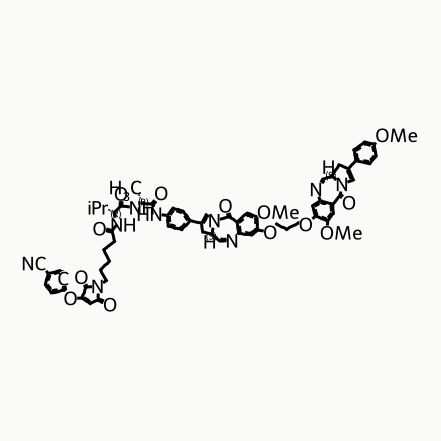 COc1ccc(C2=CN3C(=O)c4cc(OC)c(OCCCOc5cc6c(cc5OC)C(=O)N5C=C(c7ccc(NC(=O)[C@@H](C)NC(=O)[C@H](NC(=O)CCCCCN8C(=O)C=C(Oc9ccc(C#N)cc9)C8=O)C(C)C)cc7)C[C@H]5C=N6)cc4N=C[C@@H]3C2)cc1